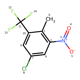 Cc1c([N+](=O)[O-])cc(Cl)cc1C(F)(F)F